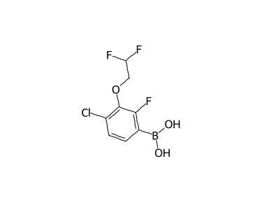 OB(O)c1ccc(Cl)c(OCC(F)F)c1F